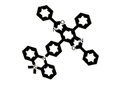 C[Si]1(C)c2ccccc2N(c2ccc(-c3c4nc(-c5ccccc5)oc4c(-c4ccccc4)c4nc(-c5ccccc5)oc34)cc2)c2ccccc21